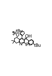 CC(C)c1nc2c(c(C3=CCCC3)c1[C@H](O)c1ccc(C(C)(C)C)cc1)C(O[Si](C)(C)C(C)(C)C)CC(C)(C)C2